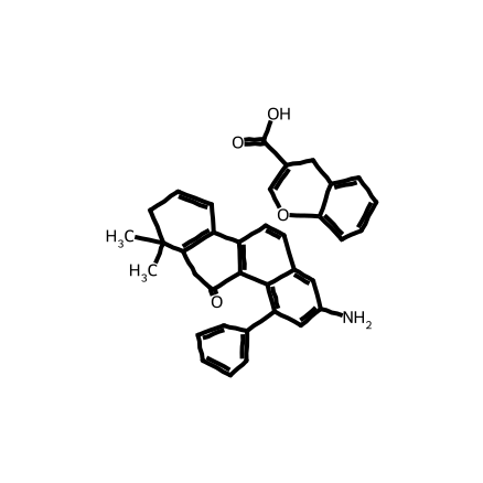 CC1(C)CC=CC2=C1CC(=O)c1c2ccc2cc(N)cc(-c3ccccc3)c12.O=C(O)C1=COc2ccccc2C1